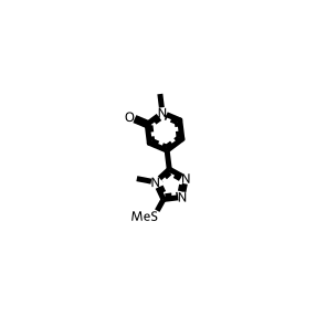 CSc1nnc(-c2ccn(C)c(=O)c2)n1C